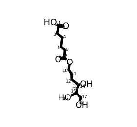 O=C(O)CCCCC(=O)OCCCC(O)C(O)CO